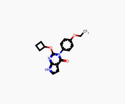 O=c1c2cc[nH]c2nc(OC2CCC2)n1-c1ccc(OCC(F)(F)F)cc1